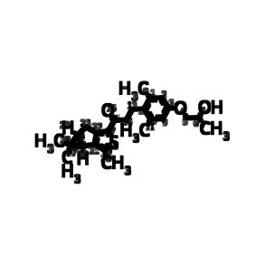 Cc1cc(OCC(C)O)cc(C)c1CCC(=O)c1sc(C)c2c1C[C@@H]1[C@H]2C1(C)C